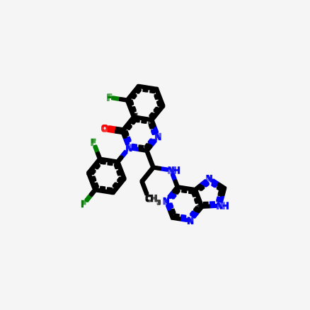 CCC(Nc1ncnc2[nH]cnc12)c1nc2cccc(F)c2c(=O)n1-c1ccc(F)cc1F